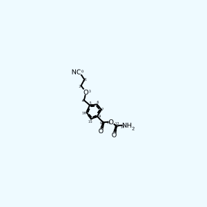 N#C[CH]COCc1ccc(C(=O)OC(N)=O)cc1